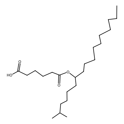 CCCCCCCCCCC(CCCCC(C)C)OC(=O)CCCCC(=O)O